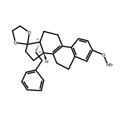 CCCOc1ccc2c(c1)CCC1=C2CC[C@@]2(CCc3ccccc3)[C@H]1CCC21OCCO1